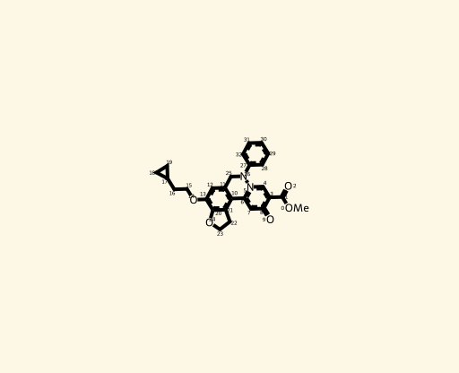 COC(=O)c1cn2c(cc1=O)-c1c(cc(OCCC3CC3)c3c1CCO3)CN2c1ccccc1